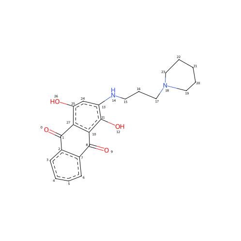 O=C1c2ccccc2C(=O)c2c(O)c(NCCCN3CCCCC3)cc(O)c21